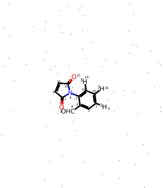 [3H]c1cc([C]=O)c(N2C(=O)C=CC2=O)c([3H])c1[3H]